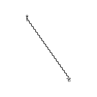 C[Si](C)(Cl)CCCCCCCCCCCCCCCCCCCCCCCCCCCCCCCCCCCCCCCN=C=O